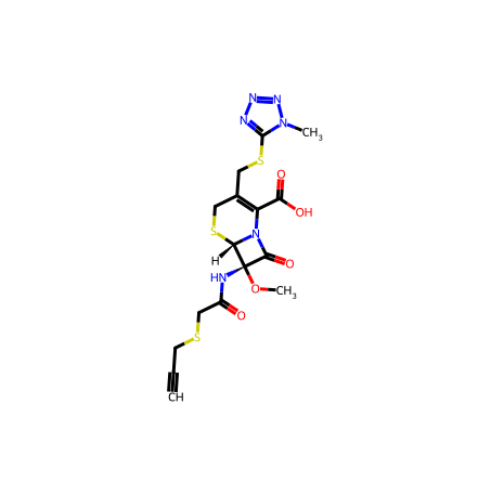 C#CCSCC(=O)N[C@]1(OC)C(=O)N2C(C(=O)O)=C(CSc3nnnn3C)CS[C@H]21